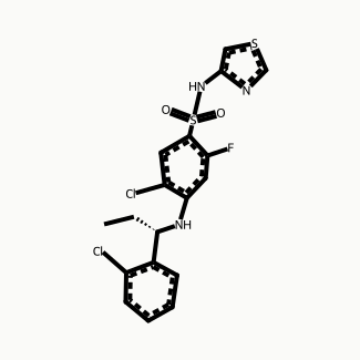 CC[C@H](Nc1cc(F)c(S(=O)(=O)Nc2cscn2)cc1Cl)c1ccccc1Cl